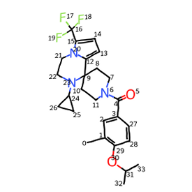 Cc1cc(C(=O)N2CCC3(CC2)c2ccc(C(F)(F)F)n2CCN3C2CC2)ccc1OC(C)C